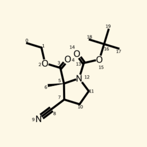 CCOC(=O)[C@@]1(C)C(C#N)CCN1C(=O)OC(C)(C)C